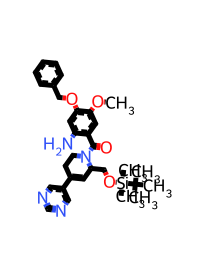 COc1cc(C(=O)N2CCC(c3cncnc3)=CC2CO[Si](C)(C)C(C)(C)C)c(N)cc1OCc1ccccc1